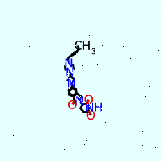 CCC#CCN1CCN(C2CN(c3ccc4c(c3)CN(C3CCC(=O)NC3=O)C4=O)C2)CC1